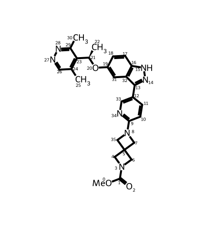 COC(=O)N1CC2(C1)CN(c1ccc(-c3n[nH]c4ccc(O[C@H](C)c5c(C)cnnc5C)cc34)cn1)C2